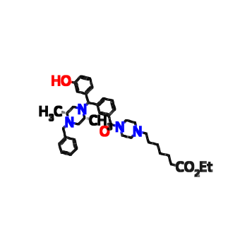 CCOC(=O)CCCCCCN1CCN(C(=O)c2cccc(C(c3cccc(O)c3)N3C[C@@H](C)N(Cc4ccccc4)C[C@H]3C)c2)CC1